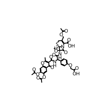 CO[C@@]1(NC(=O)C(NC(=O)c2c(C)oc3cc(OC(C)=O)c(OC(C)=O)cc3c2=O)c2ccc(OCC(=O)O)cc2)C(=O)N2C(C(=O)O)=C(COC(C)=O)CS[C@@H]21